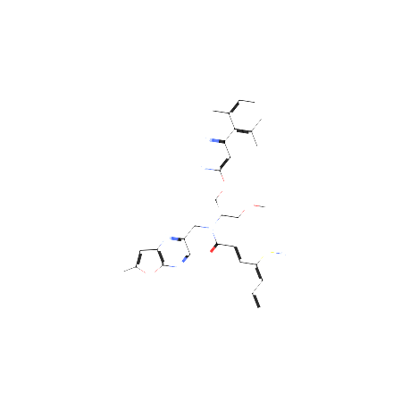 C=C/C=C(\C=C\C(=O)N(Cc1cnc2oc(C(C)C)cc2n1)[C@@H](CO/C(N)=C/C(=N)C(=C(C)C)/C(C)=C\C)COC(C)C)SN